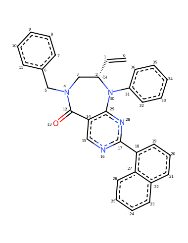 C=C[C@H]1CN(Cc2ccccc2)C(=O)c2cnc(-c3cccc4ccccc34)nc2N1c1ccccc1